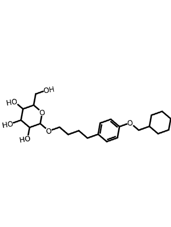 OCC1OC(OCCCCc2ccc(OCC3CCCCC3)cc2)C(O)C(O)C1O